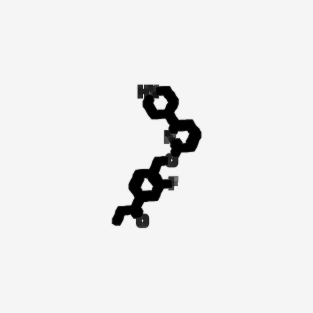 CCC(=O)c1ccc(COc2cccc(C3CCNCC3)n2)c(F)c1